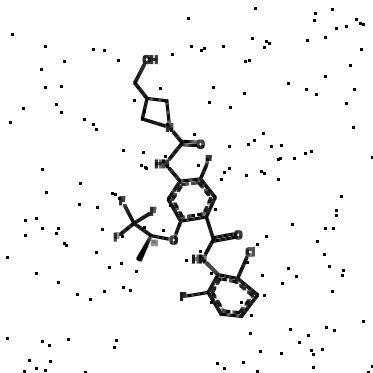 C[C@H](Oc1cc(NC(=O)N2CC(CO)C2)c(F)cc1C(=O)Nc1c(F)cccc1Cl)C(F)(F)F